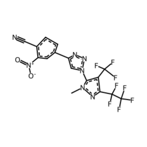 Cn1nc(C(F)(F)C(F)(F)F)c(C(F)(F)F)c1-n1cc(-c2ccc(C#N)c([N+](=O)[O-])c2)nn1